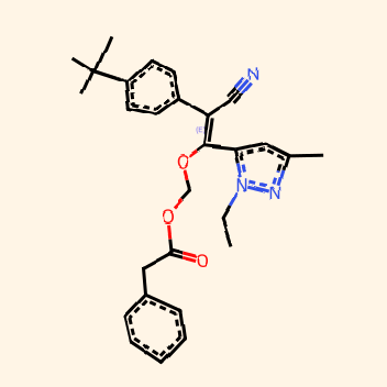 CCn1nc(C)cc1/C(OCOC(=O)Cc1ccccc1)=C(\C#N)c1ccc(C(C)(C)C)cc1